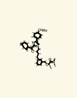 COc1ccc(-c2cn(CCCCc3cccc(CO[C@H](C)C(=O)N(C)C)c3)c(C(=O)c3ccc(C)cc3)n2)cc1